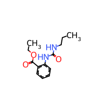 CCCNC(=O)Nc1ccccc1C(=O)OCC